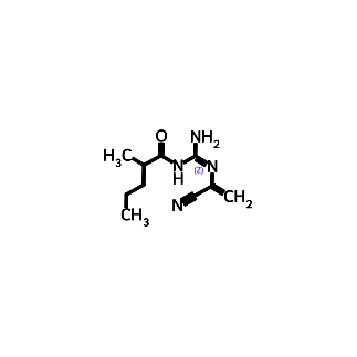 C=C(C#N)/N=C(/N)NC(=O)C(C)CCC